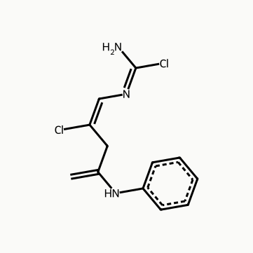 C=C(C/C(Cl)=C\N=C(/N)Cl)Nc1ccccc1